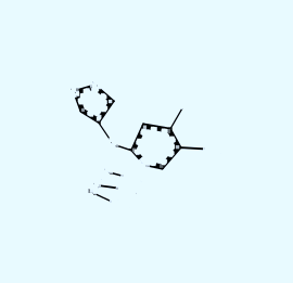 CN.CN.CN.FC(F)(F)c1cnc(Nc2cn[nH]c2)cc1I